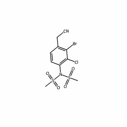 CS(=O)(=O)N(c1ccc(CC#N)c(Br)c1Cl)S(C)(=O)=O